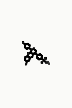 CS(=O)(=O)c1ccc(-c2cnn(-c3ccc(F)cc3)c(=O)c2Cc2cccc(F)c2)cc1